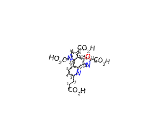 O=C(O)CCc1ccc2c(n1)c1nc(C(=O)O)oc1c1c(C(=O)O)cn(C(=O)O)c21